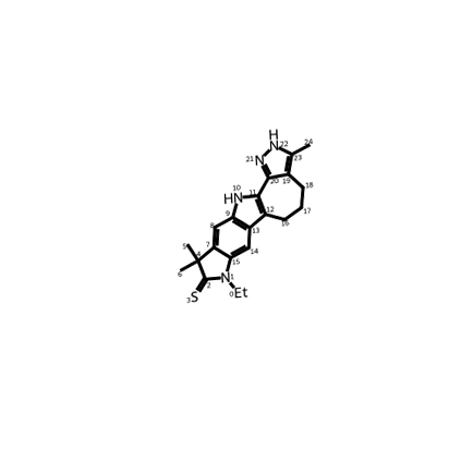 CCN1C(=S)C(C)(C)c2cc3[nH]c4c(c3cc21)CCCc1c-4n[nH]c1C